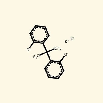 CC(C)(c1ccccc1[O-])c1ccccc1[O-].[K+].[K+]